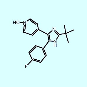 CC(C)(C)c1nc(-c2cc[n+](O)cc2)c(-c2ccc(F)cc2)[nH]1